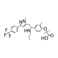 CCCNC(Cc1cc(-c2ccc(C(F)(F)F)cc2)nn1C)c1ccc(OC(C)(C)C(=O)O)c(C)c1